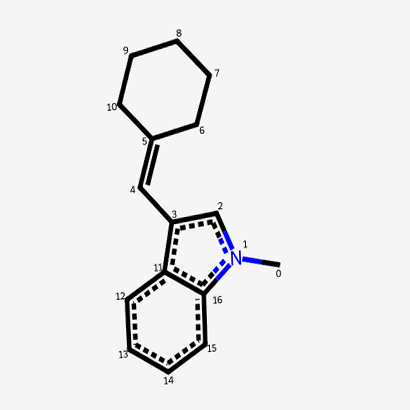 Cn1cc(C=C2CCCCC2)c2ccccc21